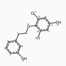 Oc1cccc(CCOc2c(Cl)cc(O)cc2Cl)c1